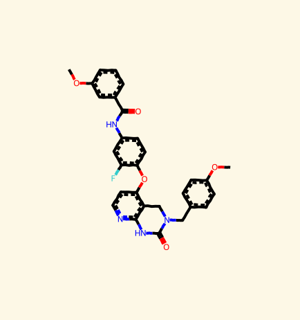 COc1ccc(CN2Cc3c(Oc4ccc(NC(=O)c5cccc(OC)c5)cc4F)ccnc3NC2=O)cc1